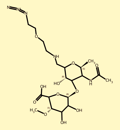 CO[C@@H]1C(C(=O)O)O[C@@H](OC2C(NC(C)=O)[C@H](C)OC(CNCCOCCN=[N+]=[N-])[C@H]2O)C(O)C1O